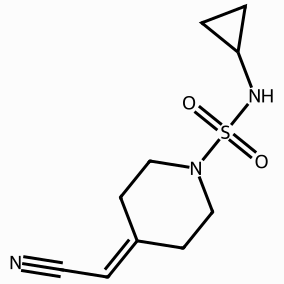 N#CC=C1CCN(S(=O)(=O)NC2CC2)CC1